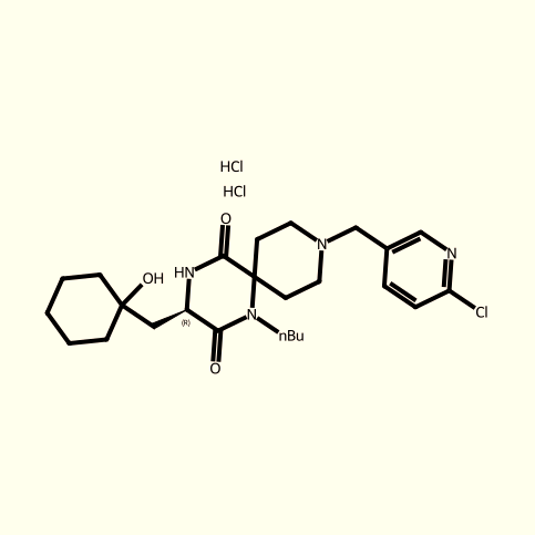 CCCCN1C(=O)[C@@H](CC2(O)CCCCC2)NC(=O)C12CCN(Cc1ccc(Cl)nc1)CC2.Cl.Cl